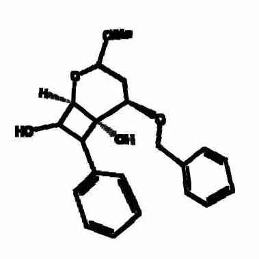 COC1C[C@@H](OCc2ccccc2)[C@@]2(O)C(c3ccccc3)C(O)[C@H]2O1